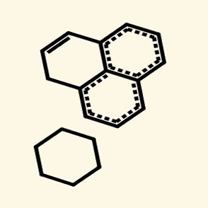 C1=Cc2cccc3cccc(c23)C1.C1CCCCC1